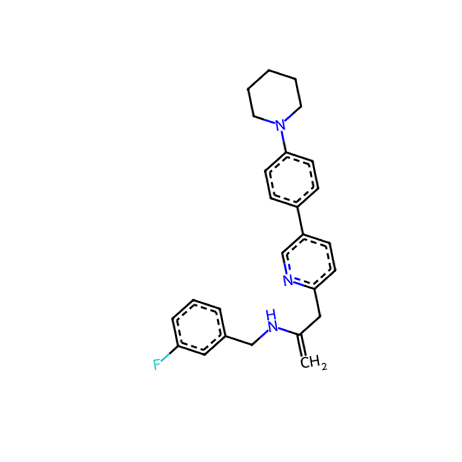 C=C(Cc1ccc(-c2ccc(N3CCCCC3)cc2)cn1)NCc1cccc(F)c1